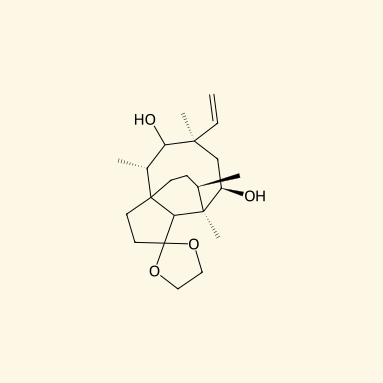 C=C[C@@]1(C)C[C@@H](O)[C@@]2(C)C3C4(CCC3(CC[C@H]2C)[C@H](C)C1O)OCCO4